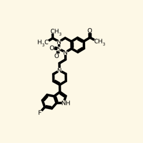 CC(=O)c1ccc2c(c1)CN(C(C)C)S(=O)(=O)N2CCN1CC=C(c2c[nH]c3cc(F)ccc23)CC1